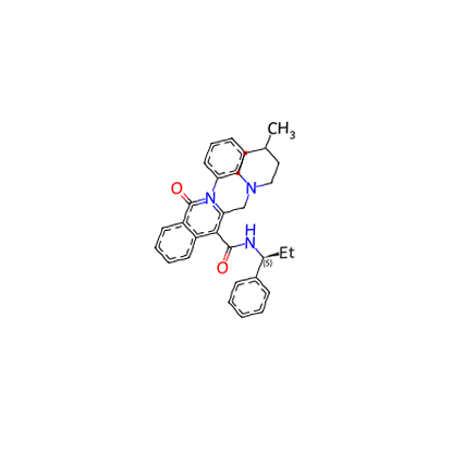 CC[C@H](NC(=O)c1c(CN2CCC(C)CC2)n(-c2ccccc2)c(=O)c2ccccc12)c1ccccc1